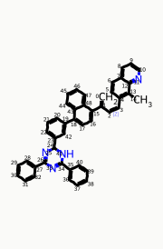 C=C(/C=C\c1ccc2cccnc2c1C)c1ccc(-c2cccc(C3N=C(c4ccccc4)N=C(c4ccccc4)N3)c2)c2ccccc12